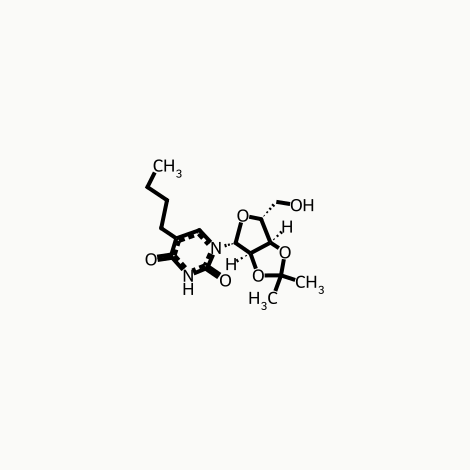 CCCCc1cn([C@@H]2O[C@H](CO)[C@H]3OC(C)(C)O[C@H]32)c(=O)[nH]c1=O